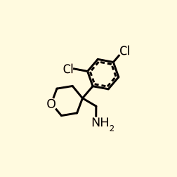 NCC1(c2ccc(Cl)cc2Cl)CCOCC1